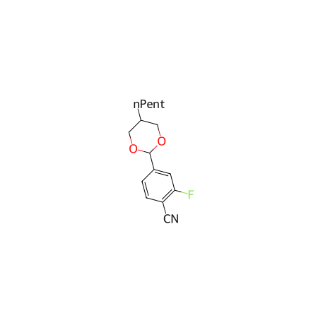 CCCCCC1COC(c2ccc(C#N)c(F)c2)OC1